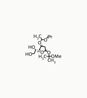 COC(C)(C)O[C@@H]1C[C@@H](OC(C)OC(C)C)[C@@H](C(O)CO)O1